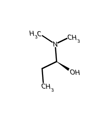 CC[C@H](O)N(C)C